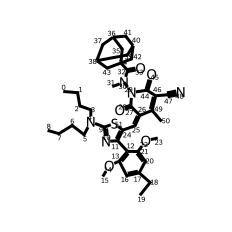 CCCCN(CCCC)c1nc(-c2c(OC)cc(CC)cc2OC)c(/C=C2\C(=O)N(N(C)C(=O)C34CC5CC(CC(C5)C3)C4)C(=O)C(C#N)=C2C)s1